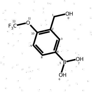 OCc1cc(B(O)O)ccc1OC(F)(F)F